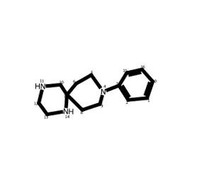 c1ccc(N2CCC3(CC2)CNCCN3)cc1